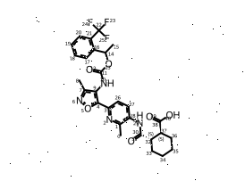 Cc1nc(-c2onc(C)c2NC(=O)OC(C)c2ccccc2C(F)(F)F)ccc1NC(=O)[C@H]1CCCC[C@@H]1C(=O)O